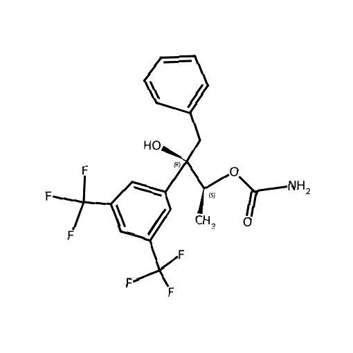 C[C@H](OC(N)=O)[C@@](O)(Cc1ccccc1)c1cc(C(F)(F)F)cc(C(F)(F)F)c1